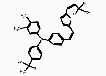 CCCC(C)(CC)c1ccc(N(c2ccc(/C=C\c3ccc(/C=C\C(C)(CC)CC)s3)cc2)c2ccc(C)c(C)c2)cc1